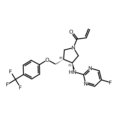 C=CC(=O)N1C[C@@H](COc2ccc(C(F)(F)F)cc2)[C@H](Nc2ncc(F)cn2)C1